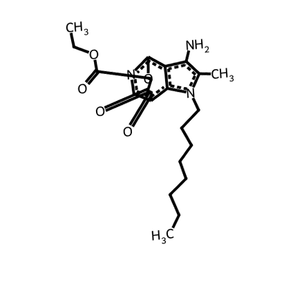 CCCCCCCCn1c(C)c(N)c2c3ncc(c21)C(=O)C(=O)C(C(=O)OCC)O3